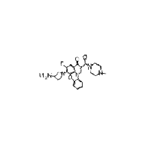 CN1CCN(C(=O)c2cn3c4c(c(N5CCC(N)C5)c(F)cc4c2=O)Oc2ccccc2-3)CC1